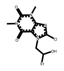 CCC(O)Cn1c(Cl)nc2c1c(=O)n(C)c(=O)n2C